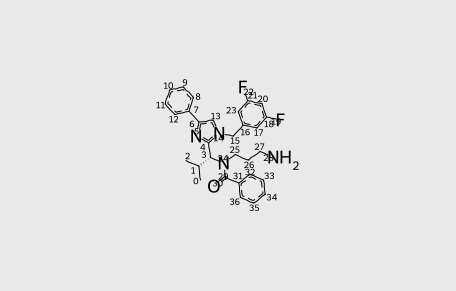 CC(C)[C@H](c1nc(-c2ccccc2)cn1Cc1cc(F)cc(F)c1)N(CCCN)C(=O)c1ccccc1